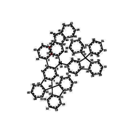 c1ccc(-c2cc3c(cc2N(c2ccc4c(c2)C(c2ccccc2)(c2ccccc2)c2ccccc2-4)c2ccc4sc5ccccc5c4c2)C2(c4ccccc4-c4ccccc42)c2ccccc2-3)cc1